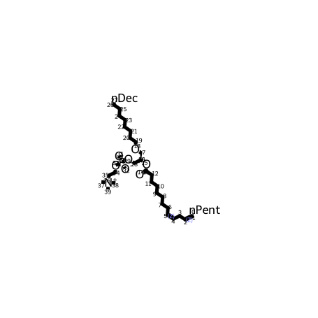 CCCCC/C=C\C/C=C\CCCCCCCC(=O)O[C@H](COCCCCCCCCCCCCCCCCCC)COP(=O)([O-])OCC[N+](C)(C)C